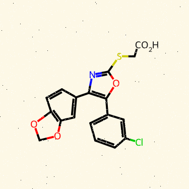 O=C(O)CSc1nc(-c2ccc3c(c2)OCO3)c(-c2cccc(Cl)c2)o1